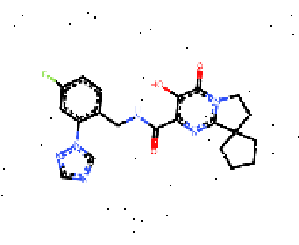 O=C(NCc1ccc(F)cc1-n1cncn1)c1nc2n(c(=O)c1O)CCC21CCCC1